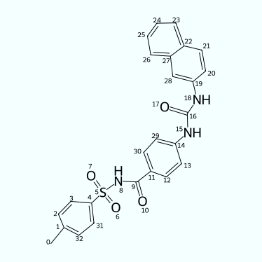 Cc1ccc(S(=O)(=O)NC(=O)c2ccc(NC(=O)Nc3ccc4ccccc4c3)cc2)cc1